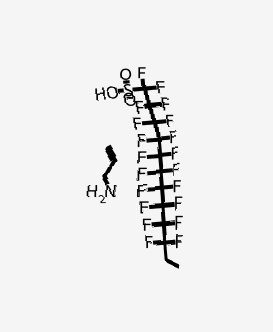 C=CCN.CCC(F)(F)C(F)(F)C(F)(F)C(F)(F)C(F)(F)C(F)(F)C(F)(F)C(F)(F)C(F)(F)C(F)(F)S(=O)(=O)O